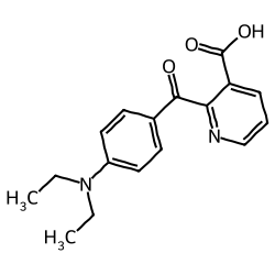 CCN(CC)c1ccc(C(=O)c2ncccc2C(=O)O)cc1